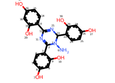 NN1C(c2ccc(O)cc2O)=NC(c2ccc(O)cc2O)=NC1c1ccc(O)cc1O